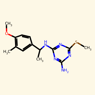 COc1ccc(C(C)Nc2nc(N)nc(SC)n2)cc1C